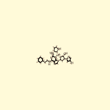 CCc1cnn([C@H]2C[C@@H](n3cnc4c(NCCc5ccccc5)nc(N[C@@H]5CCNC5)nc43)[C@H](O)[C@@H]2O)c1